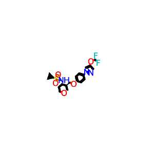 O=S(=O)(N[C@H]1CCOC[C@@H]1COc1ccc(-n2cc(OC(F)F)cn2)cc1)C1CC1